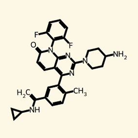 C=C(NC1CC1)c1ccc(C)c(-c2nc(N3CCC(N)CC3)nc3c2ccc(=O)n3-c2c(F)cccc2F)c1